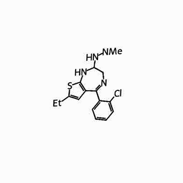 CCc1cc2c(s1)NC(NNC)CN=C2c1ccccc1Cl